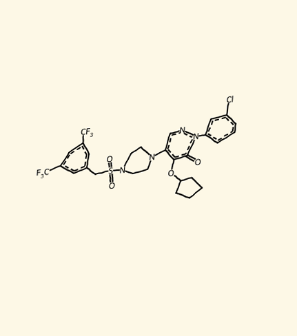 O=c1c(OC2CCCC2)c(N2CCN(S(=O)(=O)Cc3cc(C(F)(F)F)cc(C(F)(F)F)c3)CC2)cnn1-c1cccc(Cl)c1